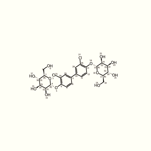 OC[C@H]1O[C@H](Oc2ccc(-c3ccc(O[C@H]4O[C@H](CO)[C@@H](O)[C@H](O)[C@@H]4O)c(Cl)c3)cc2Cl)[C@@H](O)[C@@H](O)[C@@H]1O